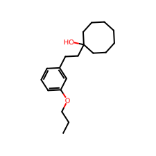 CCCOc1cccc(CCC2(O)CCCCCCC2)c1